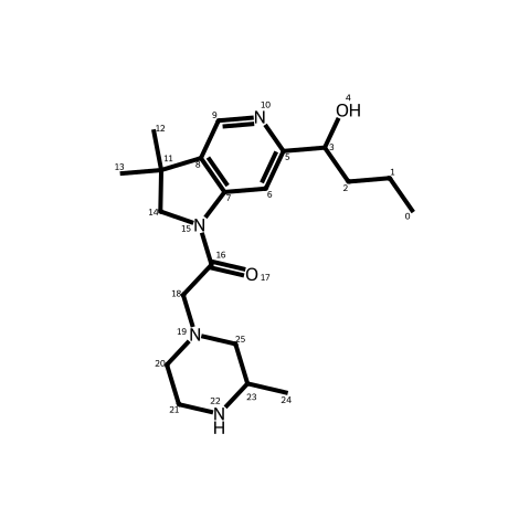 CCCC(O)c1cc2c(cn1)C(C)(C)CN2C(=O)CN1CCNC(C)C1